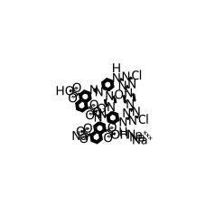 CC([O-])=Nc1cc(Nc2nc(Cl)nc(N3CCN(c4nc(Cl)nc(Nc5ccc(N=Nc6cc(S(=O)(=O)O)c7cccc(S(=O)(=O)[O-])c7c6)c(N=C(C)[O-])c5)n4)CC3)n2)ccc1N=Nc1cc(S(=O)(=O)O)c2cccc(S(=O)(=O)[O-])c2c1.[Na+].[Na+].[Na+].[Na+]